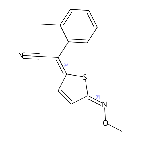 CO/N=C1C=C/C(=C(\C#N)c2ccccc2C)S\1